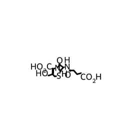 O=C(O)CCCC(=O)N[C@@H]1C(=O)N2C(C(=O)O)=C(CO)CS[C@H]12